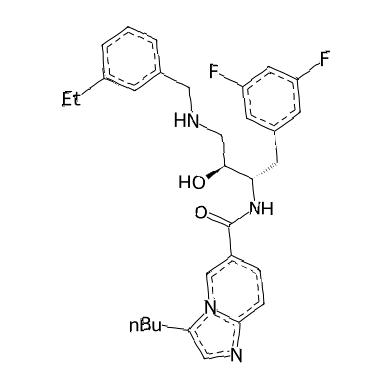 CCCCc1cnc2ccc(C(=O)N[C@@H](Cc3cc(F)cc(F)c3)[C@@H](O)CNCc3cccc(CC)c3)cn12